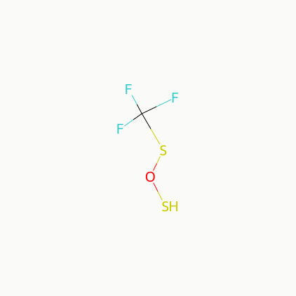 FC(F)(F)SOS